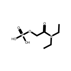 CCN(CC)C(=O)COP(=O)(O)O